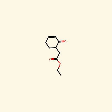 CCOC(=O)CC1CCC=CC1=O